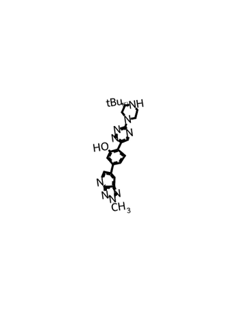 Cn1nc2cc(-c3ccc(-c4cnc(N5CCN[C@@H](C(C)(C)C)C5)nn4)c(O)c3)cnc2n1